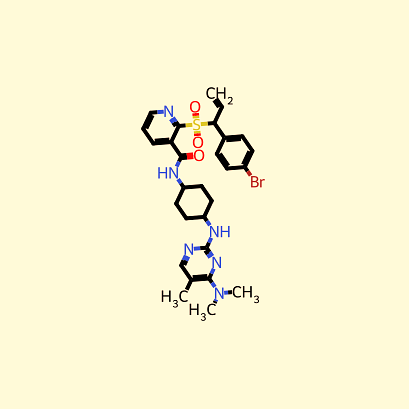 C=CC(c1ccc(Br)cc1)S(=O)(=O)c1ncccc1C(=O)NC1CCC(Nc2ncc(C)c(N(C)C)n2)CC1